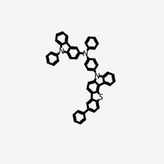 c1ccc(-c2ccc3sc4c(ccc5c4c4ccccc4n5-c4ccc(N(c5ccccc5)c5ccc6c(c5)c5ccccc5n6-c5ccccc5)cc4)c3c2)cc1